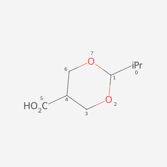 CC(C)C1OCC(C(=O)O)CO1